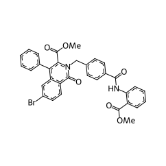 COC(=O)c1ccccc1NC(=O)c1ccc(Cn2c(C(=O)OC)c(-c3ccccc3)c3cc(Br)ccc3c2=O)cc1